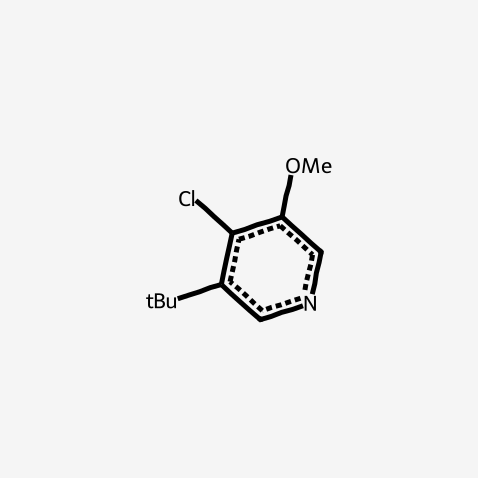 COc1cncc(C(C)(C)C)c1Cl